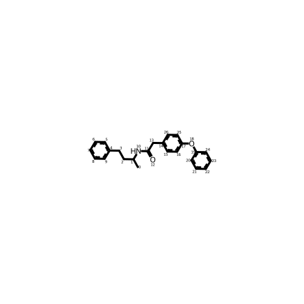 CC(CCc1ccccc1)NC(=O)Cc1ccc(Oc2ccccc2)cc1